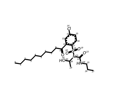 CCCCCCCCCC(=O)c1cc(Cl)ccc1S(=O)(=O)N(C(=O)NCCC)C(C)O